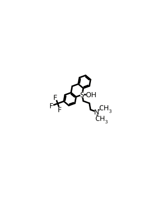 CN(C)CCCS1(O)c2ccccc2Cc2cc(C(F)(F)F)ccc21